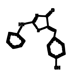 O=C1N=C(Nc2ccccc2)SC1=Cc1ccc(O)cc1